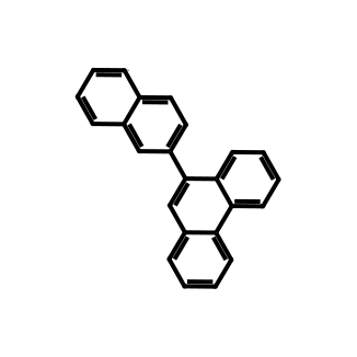 [c]1cccc2cc(-c3cc4ccccc4c4ccccc34)ccc12